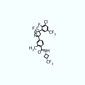 Cc1cc(C2=NO[C@](c3cc(C(F)(F)F)cc(Cl)c3F)(C(F)(F)F)C2)ccc1C(=O)N[C@H]1C[C@@H](C(F)(F)F)C1